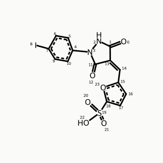 O=C1NN(c2ccc(I)cc2)C(=O)C1=Cc1ccc(S(=O)(=O)O)o1